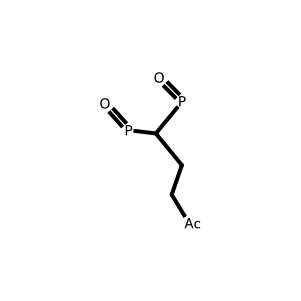 CC(=O)CCC(P=O)P=O